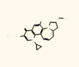 CCOC(=O)c1cn(C2CC2)c2c3c(c(F)cc2c1=O)N1C[C@@H](CN)CC1CC=C3